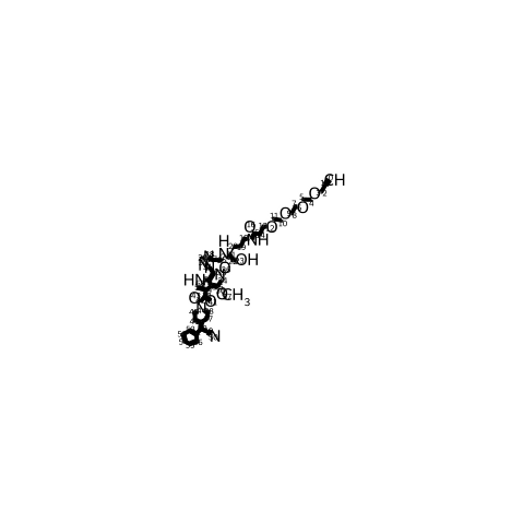 C#CCOCCOCCOCCOCCC(=O)NCCC[C@@H](CO)NC(=O)c1ncnn1-c1ncc(OC)c2c(C(=O)C(=O)N3CCC(=C(C#N)c4ccccc4)CC3)c[nH]c12